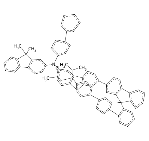 CC(C)CC(c1ccc(-c2ccc3c(c2)C2(c4ccccc4-3)c3ccccc3-c3ccc(-c4ccc5c(c4)Cc4ccc(N(c6ccc(-c7ccccc7)cc6)c6ccc7c(c6)C(C)(C)c6ccccc6-7)cc4-5)cc32)cc1)C(C)C